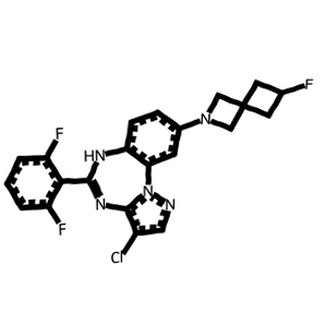 Fc1cccc(F)c1C1=Nc2c(Cl)cnn2-c2cc(N3CC4(CC(F)C4)C3)ccc2N1